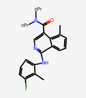 CCCN(CCC)C(=O)c1cnc(Nc2cccc(F)c2C)c2cccc(C)c12